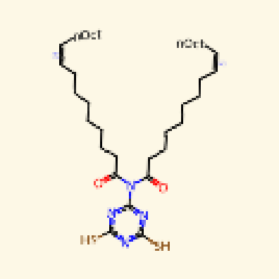 CCCCCCCC/C=C\CCCCCCCC(=O)N(C(=O)CCCCCCC/C=C\CCCCCCCC)c1nc(S)nc(S)n1